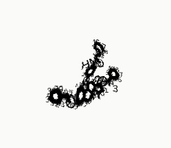 C[C@]12C[C@H](Oc3ccc(NC(=O)CCN4CCCC4)cc3)[C@@H]3c4ccc(OCc5ccccc5)cc4CC[C@H]3[C@@H]1CC[C@@H]2OCc1ccccc1